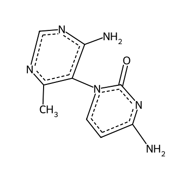 Cc1ncnc(N)c1-n1ccc(N)nc1=O